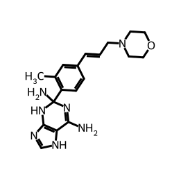 Cc1cc(C=CCN2CCOCC2)ccc1C1(N)N=C(N)c2[nH]cnc2N1